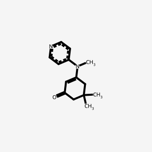 CN(C1=CC(=O)CC(C)(C)C1)c1ccncc1